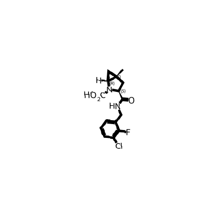 C[C@@]12C[C@@H](C(=O)NCc3cccc(Cl)c3F)N(C(=O)O)[C@@H]1C2